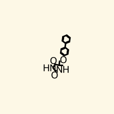 CC1(COc2ccc(-c3ccccc3)cc2)NC(=O)NC1=O